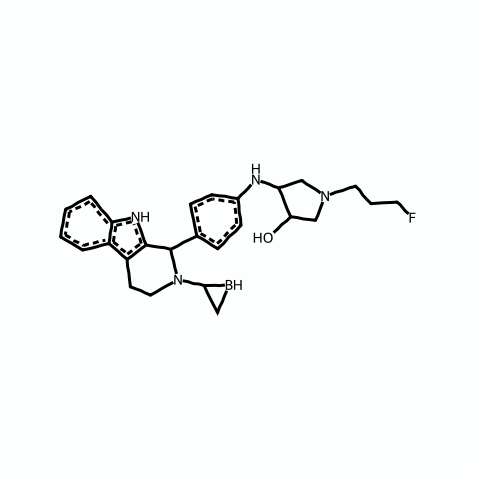 OC1CN(CCCF)CC1Nc1ccc(C2c3[nH]c4ccccc4c3CCN2C2BC2)cc1